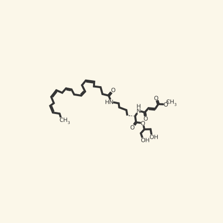 CC/C=C\C/C=C\C/C=C\C/C=C\C/C=C\CCCC(=O)NCCCC[C@H](NC(=O)/C=C/C(=O)OC)C(=O)OC(CO)CO